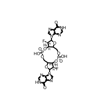 O=c1[nH]cnc2c1ncn2C1OC2COP(=O)(O)O[C@@H]3C(COP(=O)(O)O[C@H]2[C@H]1F)OC(n1cnc2c(=O)[nH]cnc21)[C@@H]3F